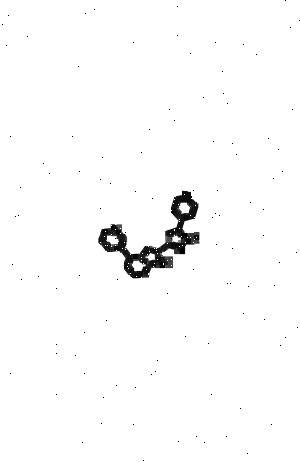 c1cncc(-c2cccc3[nH]c(-c4cc(-c5ccncc5)[nH]n4)cc23)c1